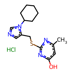 Cc1cc(O)nc(SCc2cncn2C2CCCCC2)n1.Cl